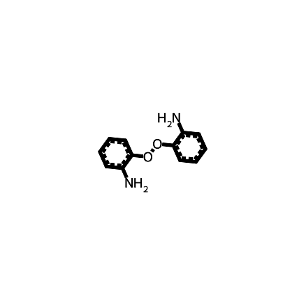 Nc1ccccc1OOc1ccccc1N